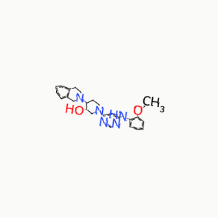 CCOc1ccccc1Nc1cc(N2CCC(N3CCc4ccccc4C3)C(O)C2)ncn1